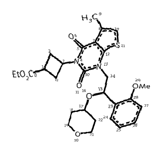 CCOC(=O)C1CC(n2c(=O)c3c(C)csc3n(CC(OC3CCOCC3)c3ccccc3OC)c2=O)C1